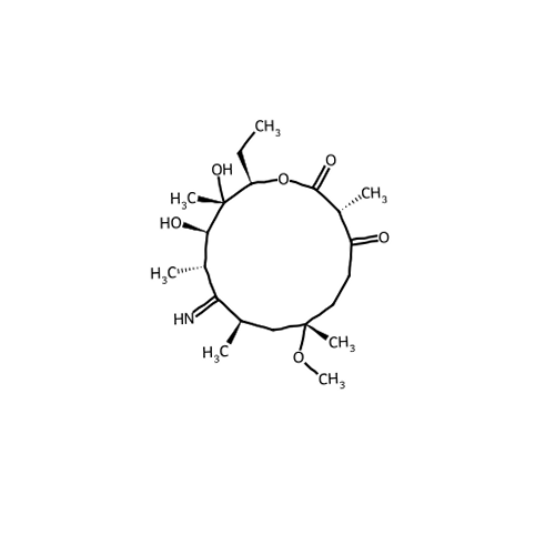 CC[C@H]1OC(=O)[C@H](C)C(=O)CC[C@](C)(OC)C[C@@H](C)C(=N)[C@H](C)[C@@H](O)[C@]1(C)O